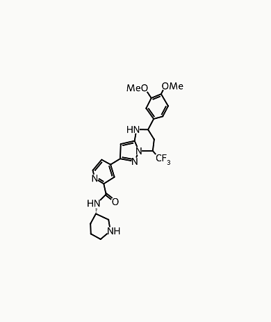 COc1ccc(C2CC(C(F)(F)F)n3nc(-c4ccnc(C(=O)N[C@H]5CCCNC5)c4)cc3N2)cc1OC